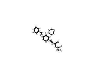 C1COCCN1.NC(=O)CC(=O)C#Cc1ccc(OCc2ccccc2)cc1